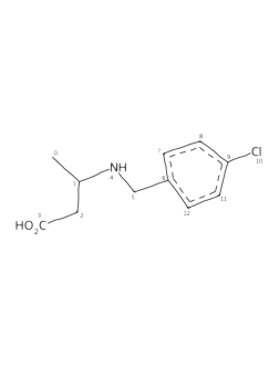 CC(CC(=O)O)NCc1ccc(Cl)cc1